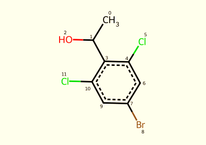 CC(O)c1c(Cl)cc(Br)cc1Cl